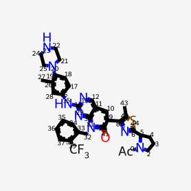 CC(=O)N1CCCC1c1nc(-c2cc3cnc(Nc4ccc(N5CCNCC5)c(C)c4)nc3n(Cc3ccccc3C(F)(F)F)c2=O)c(C)s1